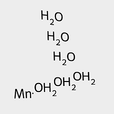 O.O.O.O.O.O.[Mn]